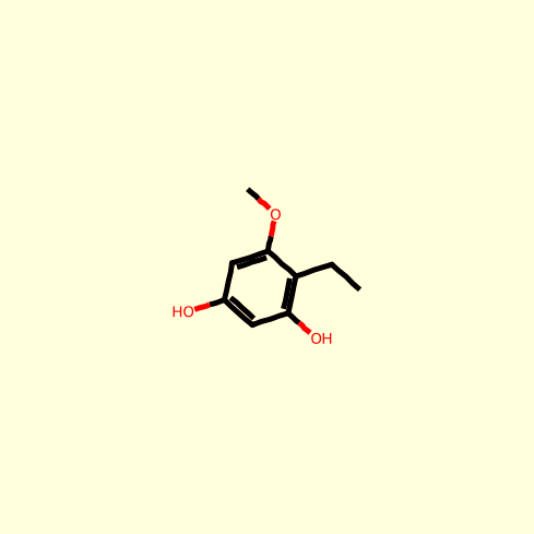 CCc1c(O)cc(O)cc1OC